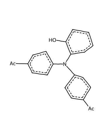 CC(=O)c1ccc(N(c2ccc(C(C)=O)cc2)c2ccccc2O)cc1